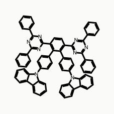 c1ccc(-c2nc(-c3ccccc3)nc(-c3ccc(-c4nc(-c5ccccc5)nc(-c5ccccc5)n4)c(-c4ccc(-n5c6ccccc6c6ccccc65)cc4)c3-c3ccc(-n4c5ccccc5c5ccccc54)cc3)n2)cc1